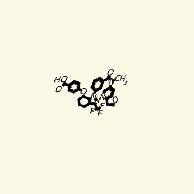 CN(C(=O)c1cccc(-n2nc(C(F)(F)F)c3c2C(Oc2ccc(C(=O)O)cc2)CCC3)c1)c1cnc2c(c1)OCC2